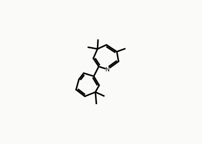 CC1=CC(C)(C)C=C(C2=CC(C)(C)C=CC=C2)N=C1